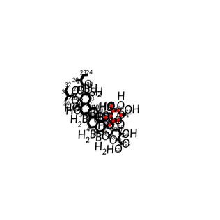 BC1(B)C2CC[C@]3(B)C(CC=C4C5C[C@@](B)(S)[C@@H](OC(=O)/C(C)=C\C)[C@H](OC(=O)/C(C)=C\C)[C@]5(CO)[C@H](O)C[C@]43B)[C@@]2(B)CC[C@@H]1OC1OC(C(=O)O)C(O)C(OC2OCC(O)C(O)C2O)C1OC1OC(CO)C(O)C(O)C1O